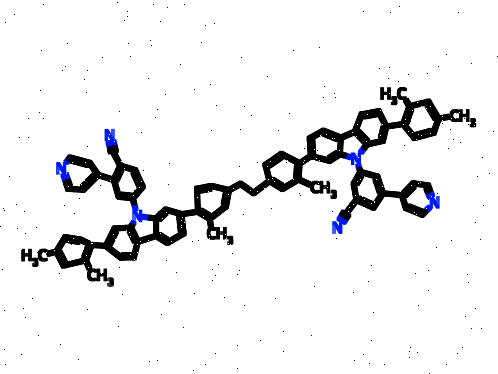 Cc1ccc(-c2ccc3c4ccc(-c5ccc(CCc6ccc(-c7ccc8c9ccc(-c%10ccc(C)cc%10C)cc9n(-c9ccc(C#N)c(-c%10ccncc%10)c9)c8c7)c(C)c6)cc5C)cc4n(-c4cc(C#N)cc(-c5ccncc5)c4)c3c2)c(C)c1